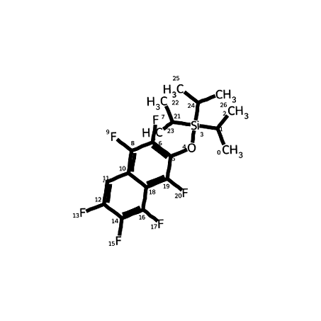 CC(C)[Si](Oc1c(F)c(F)c2[c]c(F)c(F)c(F)c2c1F)(C(C)C)C(C)C